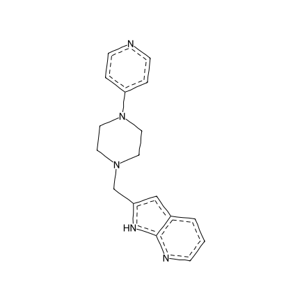 c1cnc2[nH]c(CN3CCN(c4ccncc4)CC3)cc2c1